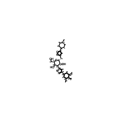 CN1CCC(c2cc(C[C@H]3O[C@H](CO)[C@H](O)[C@H](n4cc(-c5cc(F)c(F)c(F)c5)nn4)[C@H]3O)no2)CC1